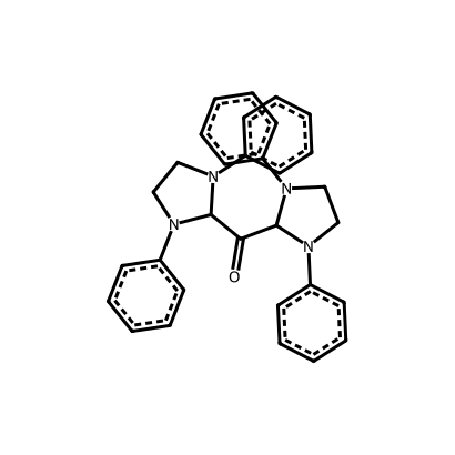 O=C(C1N(c2ccccc2)CCN1c1ccccc1)C1N(c2ccccc2)CCN1c1ccccc1